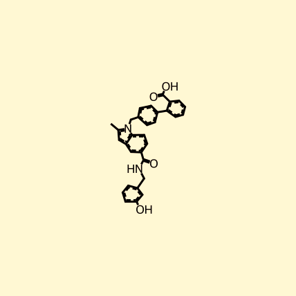 Cc1cc2cc(C(=O)NCc3cccc(O)c3)ccc2n1Cc1ccc(-c2ccccc2C(=O)O)cc1